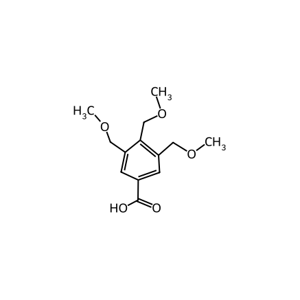 COCc1cc(C(=O)O)cc(COC)c1COC